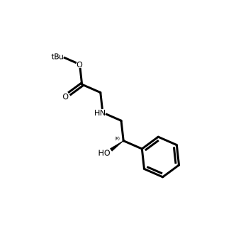 CC(C)(C)OC(=O)CNC[C@H](O)c1ccccc1